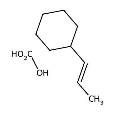 CC=CC1CCCCC1.O=C(O)O